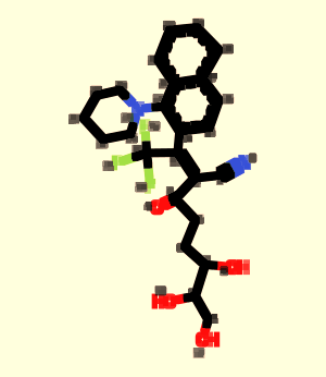 N#C/C(C(=O)CCC(O)C(O)CO)=C(\c1ccc2ccccc2c1N1CCCCC1)C(F)(F)F